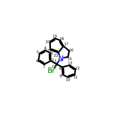 BrC(c1ccccc1)(c1ccccc1)N1CCc2ccccc21